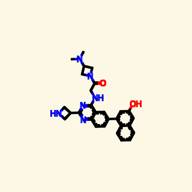 CN(C)C1CN(C(=O)CNc2nc(C3CNC3)nc3ccc(-c4cc(O)cc5ccccc45)cc23)C1